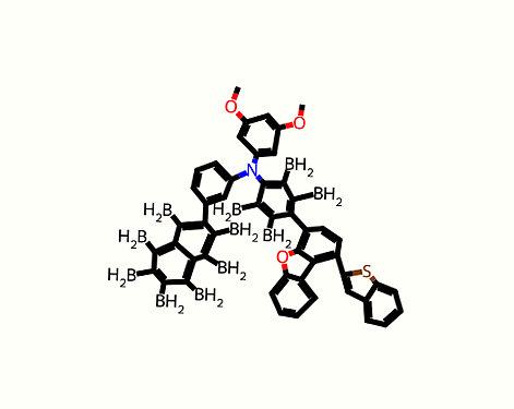 Bc1c(B)c(N(c2cc(OC)cc(OC)c2)c2cccc(-c3c(B)c(B)c4c(B)c(B)c(B)c(B)c4c3B)c2)c(B)c(B)c1-c1ccc(-c2cc3ccccc3s2)c2c1oc1ccccc12